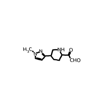 Cn1ccc(C2CCC(C(=O)C=O)NC2)n1